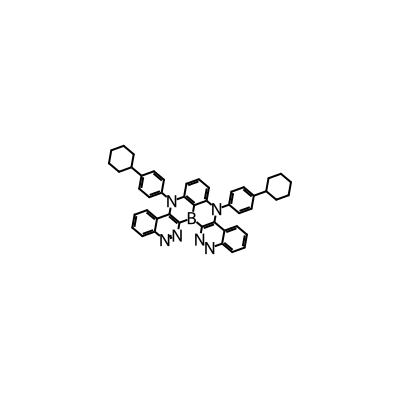 c1cc2c3c(c1)N(c1ccc(C4CCCCC4)cc1)c1c(nnc4ccccc14)B3c1nnc3ccccc3c1N2c1ccc(C2CCCCC2)cc1